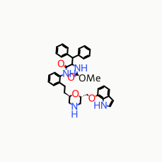 COC(=O)NC(C(=O)Nc1ccccc1CC[C@@H]1CNC[C@@H](COc2cccc3cc[nH]c23)O1)C(c1ccccc1)c1ccccc1